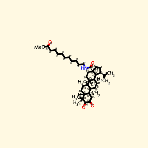 C=C(C)[C@@H]1CC[C@]2(C(=O)NCCCCCCCCCCC(=O)OC)CC[C@]3(C)[C@H](CCC4[C@@]5(C)CC(=O)C(=O)C(C)(C)[C@@H]5CC[C@]43C)[C@@H]12